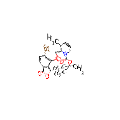 CC1C=CCN(C(=O)OC(C)(C)C)C1COc1c(Br)ccc2c1COC2=O